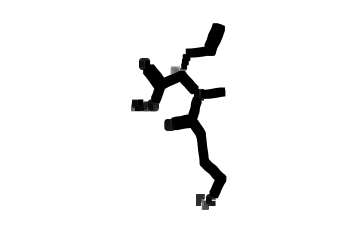 C=CC[C@@H](C(=O)OC)N(C)C(=O)CCCC(F)(F)F